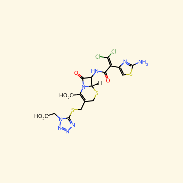 Nc1nc(C(C(=O)NC2C(=O)N3C(C(=O)O)=C(CSc4nnnn4CC(=O)O)CS[C@@H]23)=C(Cl)Cl)cs1